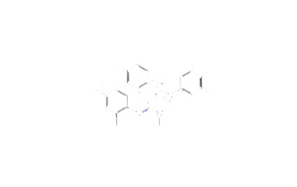 Cc1ccc(S(=O)(=O)N(SN(C)C=Nc2ccc(Cl)cc2C)c2ccccc2)cc1